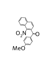 COc1ccc(C(=O)c2ccc3ccccc3c2[N+](=O)[O-])cc1